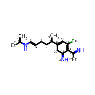 C=C(CC)N/C=C/CCC(C)C1=CC(F)=C(C(=N)CC)C(=N)C1